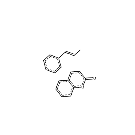 CC=Cc1ccccc1.O=c1ccc2ccccc2o1